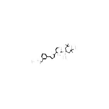 CC1(C)CC(Nc2nccc(-c3ccc(-c4cccc(CN)c4)s3)n2)CC(C)(C)N1